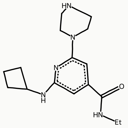 CCNC(=O)c1cc(NC2CCC2)nc(N2CCNCC2)c1